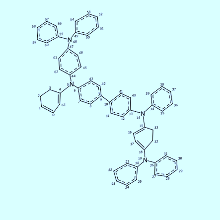 C1=CCCC(N(c2ccc(-c3ccc(N(C4=CC=C(N(c5ccccc5)c5ccccc5)CC4)c4ccccc4)cc3)cc2)c2ccc(N(c3ccccc3)c3ccccc3)cc2)=C1